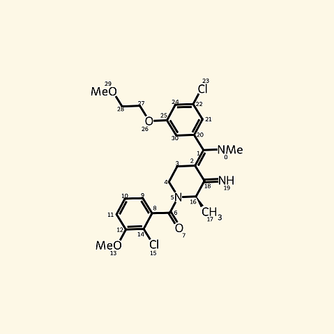 CN/C(=C1/CCN(C(=O)c2cccc(OC)c2Cl)[C@H](C)C1=N)c1cc(Cl)cc(OCCOC)c1